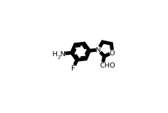 Nc1ccc(N2CCOC2C=O)cc1F